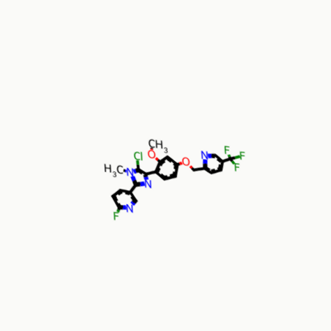 COc1cc(OCc2ccc(C(F)(F)F)cn2)ccc1-c1nc(-c2ccc(F)nc2)n(C)c1Cl